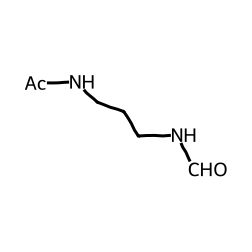 CC(=O)NCCCNC=O